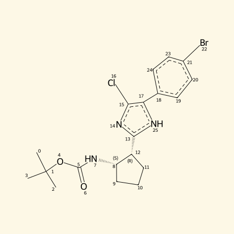 CC(C)(C)OC(=O)N[C@H]1CCC[C@H]1c1nc(Cl)c(-c2ccc(Br)cc2)[nH]1